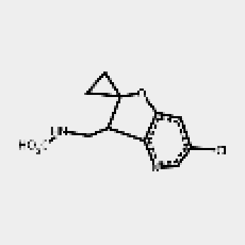 O=C(O)NCC1c2ncc(Cl)cc2OC12CC2